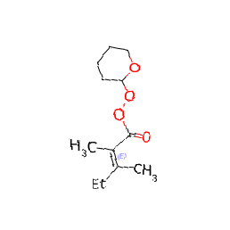 CC/C(C)=C(\C)C(=O)OOC1CCCCO1